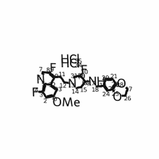 COc1cc(F)c2ncc(F)c(CCN3CC[C@H](NCc4ccc5c(c4)OCCO5)[C@H](F)C3)c2c1.Cl.Cl